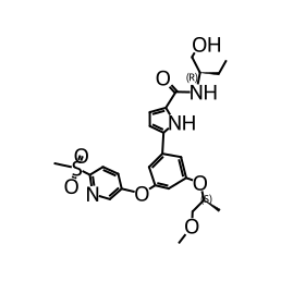 CC[C@H](CO)NC(=O)c1ccc(-c2cc(Oc3ccc(S(C)(=O)=O)nc3)cc(O[C@@H](C)COC)c2)[nH]1